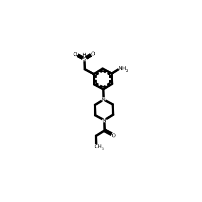 CCC(=O)N1CCN(c2cc(N)cc(C[SH](=O)=O)c2)CC1